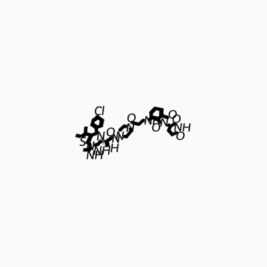 C=C(C(=O)NN1CCN(C(=O)CCNc2cccc3c2C(=O)N(C2CCC(=O)NC2=O)C3=O)CC1)[C@@H]1N=C(c2ccc(Cl)cc2)c2c(sc(C)c2C)N(C(C)=N)C1=N